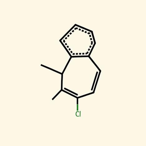 CC1=C(Cl)C=Cc2ccccc2C1C